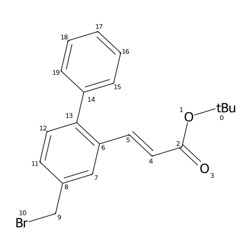 CC(C)(C)OC(=O)C=Cc1cc(CBr)ccc1-c1ccccc1